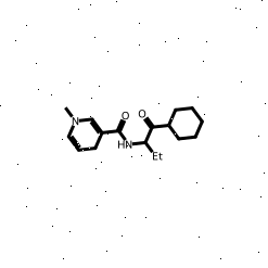 CCC(NC(=O)C1=CN(C)C=CC1)C(=O)C1CCCCC1